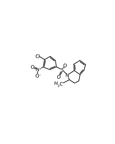 CC1CCc2ccccc2N1S(=O)(=O)c1ccc(Cl)c([N+](=O)[O-])c1